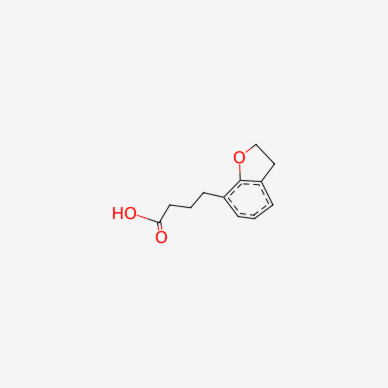 O=C(O)CCCc1cccc2c1OCC2